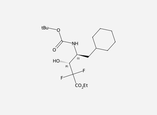 CCOC(=O)C(F)(F)[C@H](O)[C@H](CC1CCCCC1)NC(=O)OC(C)(C)C